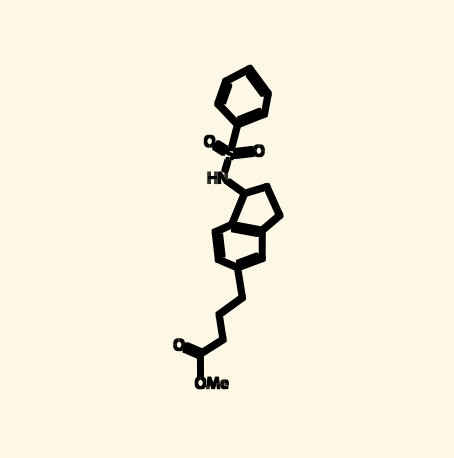 COC(=O)CCCc1ccc2c(c1)CCC2NS(=O)(=O)c1ccccc1